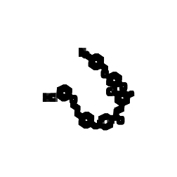 Cc1cc(C=CC(=O)N2CCN(Cc3ccc(CCCOc4ccccc4)cc3)CC2)cc(Cl)c1Oc1ccc(OCc2ccc(C#N)cc2)cn1.Cl